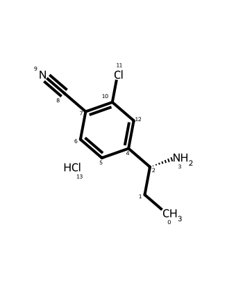 CC[C@@H](N)c1ccc(C#N)c(Cl)c1.Cl